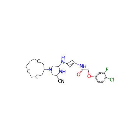 N#CC1CN(C2CCCCCCCCC2)CC(NC23CC(NC(=O)COc4ccc(Cl)c(F)c4)(C2)C3)N1